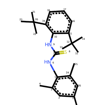 Cc1cc(C)c(NC(=S)Nc2c(C(C)(C)C)cccc2C(C)(C)C)c(C)c1